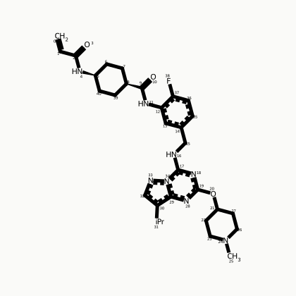 C=CC(=O)N[C@H]1CC[C@@H](C(=O)Nc2cc(CNc3nc(OC4CCN(C)CC4)nc4c(C(C)C)cnn34)ccc2F)CC1